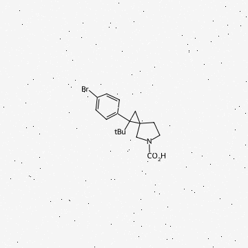 CC(C)(C)C1(c2ccc(Br)cc2)CC12CCN(C(=O)O)C2